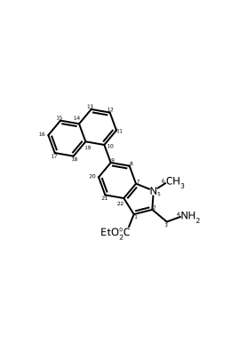 CCOC(=O)c1c(CN)n(C)c2cc(-c3cccc4ccccc34)ccc12